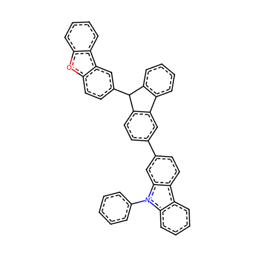 c1ccc(-n2c3ccccc3c3ccc(-c4ccc5c(c4)-c4ccccc4C5c4ccc5oc6ccccc6c5c4)cc32)cc1